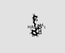 Cl.NC(=O)C([AsH]CCc1cccs1)c1ccccc1Cl